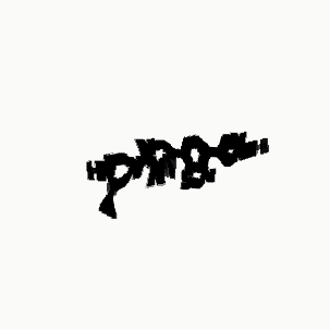 c1nc2c(-c3cn[nH]c3)ccc(-c3cnc(N4CCN[C@H](C5CC5)C4)nn3)c2s1